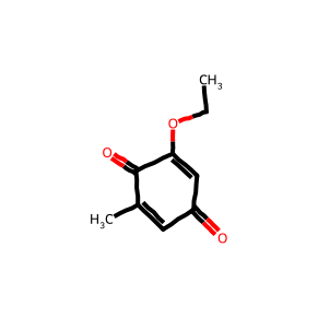 CCOC1=CC(=O)C=C(C)C1=O